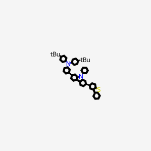 CC(C)(C)c1ccc(N(c2ccc(C(C)(C)C)cc2)c2cccc(-c3ccc4c5ccc(-c6ccc7sc8ccccc8c7c6)cc5n(-c5ccccc5)c4c3)c2)cc1